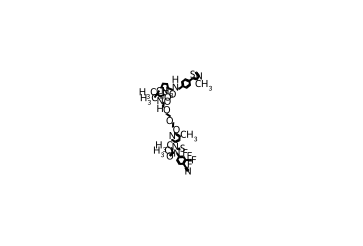 Cc1cc(N2C(=S)N(c3ccc(C#N)c(C(F)(F)F)c3F)C(=O)C2(C)C)cnc1OCCOCCOCC(=O)N[C@H](C(=O)N1CCCC1C(=O)NCc1ccc(-c2scnc2C)cc1)C(C)(C)C